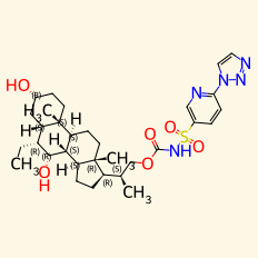 CC[C@H]1[C@@H](O)[C@@H]2[C@H](CC[C@]3(C)[C@@H]([C@H](C)COC(=O)NS(=O)(=O)c4ccc(-n5ccnn5)nc4)CC[C@@H]23)[C@@]2(C)CC[C@@H](O)C[C@@H]12